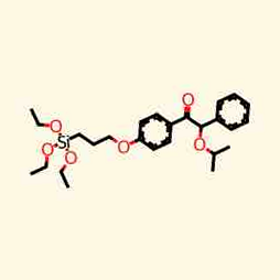 CCO[Si](CCCOc1ccc(C(=O)C(OC(C)C)c2ccccc2)cc1)(OCC)OCC